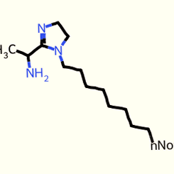 CCCCCCCCCCCCCCCCCN1CCN=C1C(C)N